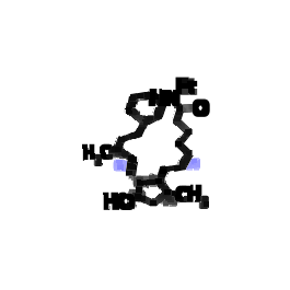 CCNC(=O)CCC/C=C\C[C@@H]1[C@@H](/C=C/[C@@H](C)CCc2ccccc2)[C@H](O)C[C@@H]1C